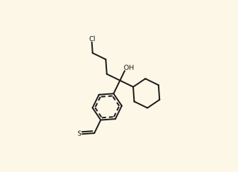 OC(CCCCl)(c1ccc(C=S)cc1)C1CCCCC1